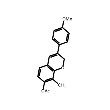 COc1ccc(C2=Cc3ccc(OC(C)=O)c(C)c3OC2)cc1